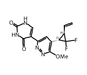 C=C[C@@H]1[C@@H](c2cc(-c3c[nH]c(=O)[nH]c3=O)nnc2OC)C1(F)F